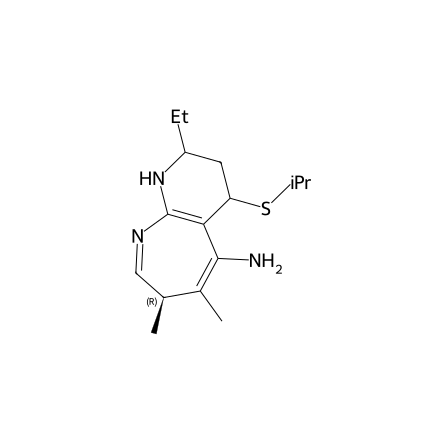 CCC1CC(SC(C)C)C2=C(N=C[C@H](C)C(C)=C2N)N1